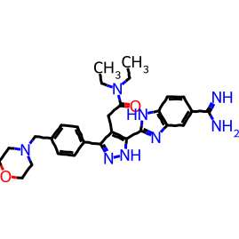 CCN(CC)C(=O)Cc1c(-c2ccc(CN3CCOCC3)cc2)n[nH]c1-c1nc2cc(C(=N)N)ccc2[nH]1